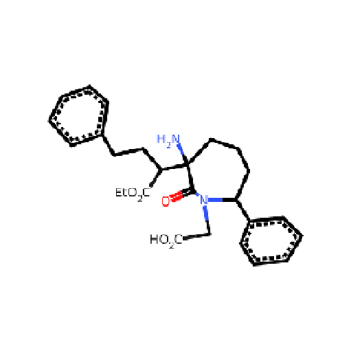 CCOC(=O)C(CCc1ccccc1)C1(N)CCCC(c2ccccc2)N(CC(=O)O)C1=O